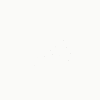 C#Cc1cc2c(cc1Sc1nc3c(N)ncnc3n1CCC)CCC2